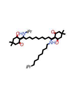 CC(C)CCCCCCCCNC(CCCCCCCCC(NC(C)C)=C1C(=O)CC(C)(C)CC1=O)=C1C(=O)CC(C)(C)CC1=O